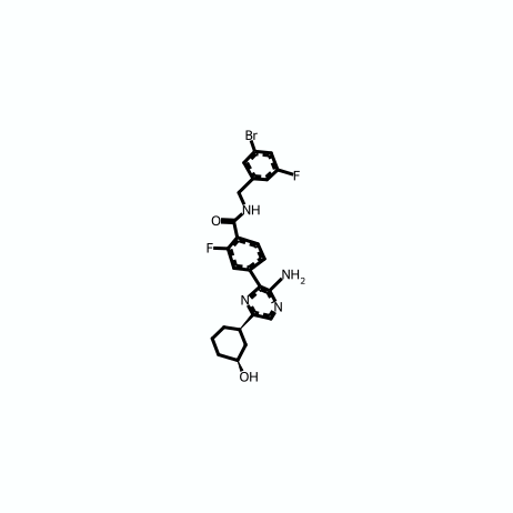 Nc1ncc([C@@H]2CCC[C@H](O)C2)nc1-c1ccc(C(=O)NCc2cc(F)cc(Br)c2)c(F)c1